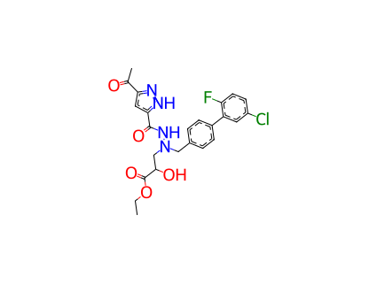 CCOC(=O)C(O)CN(Cc1ccc(-c2cc(Cl)ccc2F)cc1)NC(=O)c1cc(C(C)=O)n[nH]1